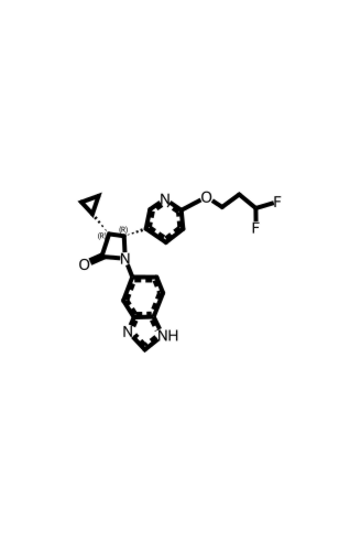 O=C1[C@H](C2CC2)[C@H](c2ccc(OCCC(F)F)nc2)N1c1ccc2[nH]cnc2c1